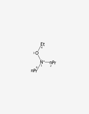 CCC[N+](CCC)OCC